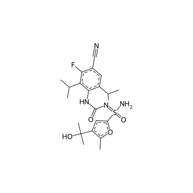 Cc1oc(S(N)(=O)=NC(=O)Nc2c(C(C)C)cc(C#N)c(F)c2C(C)C)cc1C(C)(C)O